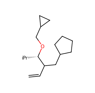 C=CC(CC1CCCC1)[C@@H](OCC1CC1)C(C)C